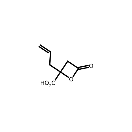 C=CCC1(C(=O)O)CC(=O)O1